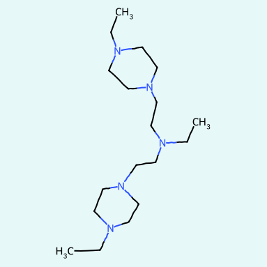 CCN1CCN(CCN(CC)CCN2CCN(CC)CC2)CC1